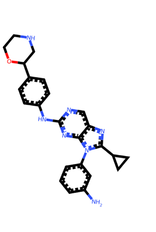 Nc1cccc(-n2c(C3CC3)nc3cnc(Nc4ccc(C5CNCCO5)cc4)nc32)c1